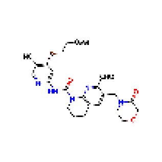 COCCSc1cc(NC(=O)N2CCCc3cc(CN4CCOCC4=O)c(C=O)nc32)ncc1C#N